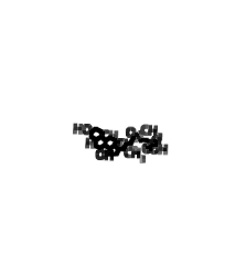 CCN(CCS(=O)(=O)O)C(=O)CCC(C)C1CCC2C3C(CC[C@]12C)[C@@]1(C)CC[C@@H](O)C[C@H]1C[C@@H]3O